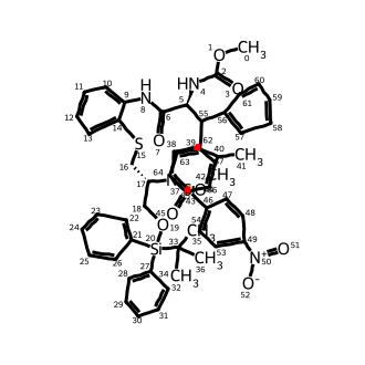 COC(=O)N[C@H](C(=O)Nc1ccccc1SC[C@@H](CO[Si](c1ccccc1)(c1ccccc1)C(C)(C)C)N(CCC(C)C)S(=O)(=O)c1ccc([N+](=O)[O-])cc1)C(c1ccccc1)c1ccccc1